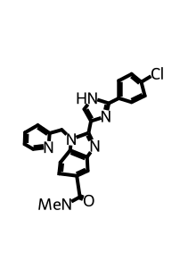 CNC(=O)c1ccc2c(c1)nc(-c1c[nH]c(-c3ccc(Cl)cc3)n1)n2Cc1ccccn1